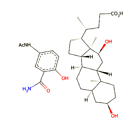 CC(=O)Nc1ccc(O)c(C(N)=O)c1.C[C@H](CCC(=O)O)[C@H]1CC[C@H]2[C@@H]3CC[C@@H]4C[C@H](O)CC[C@]4(C)[C@H]3C[C@H](O)[C@]12C